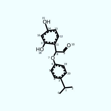 CC(C)c1ccc(OC(C=O)c2ccc(O)cc2O)cc1